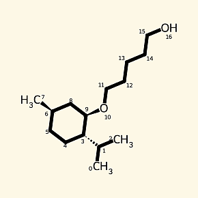 CC(C)[C@@H]1CC[C@@H](C)C[C@H]1OCCCCCO